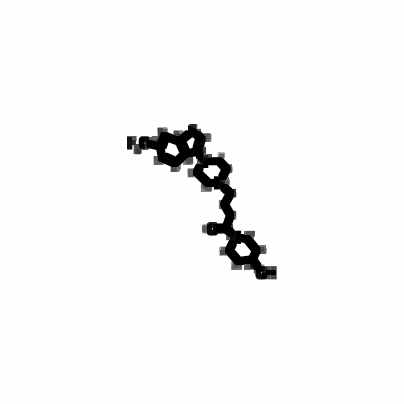 O=C(CCCN1CCN(c2csc3cc(C(F)(F)F)ccc23)CC1)N1CCC(O)CC1